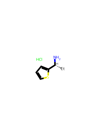 CC[C@@H](N)c1cccs1.Cl